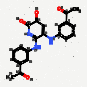 CC(=O)c1cccc(NC2=CC(=O)C(=O)N=C2Nc2cccc(C(C)=O)c2)c1